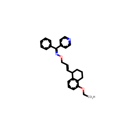 O=C(O)COc1cccc2c1CCCC2/C=C/CO/N=C(/c1ccccc1)c1ccncc1